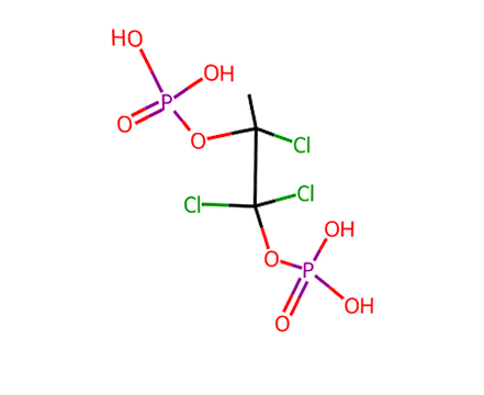 CC(Cl)(OP(=O)(O)O)C(Cl)(Cl)OP(=O)(O)O